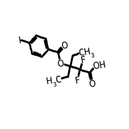 CCC(CC)(OC(=O)c1ccc(I)cc1)C(F)(F)C(=O)O